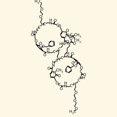 CCCOCCOCCN1CCNC(=O)COc2ccc(n(C)c2=O)C(=O)NCCN(CCN2CCNC(=O)c3ccc(c(=O)n3C)OCC(=O)NCCN(CCOCCOCCOC)CCNC(=O)COc3ccc(n(OCc4ccccc4)c3=O)C(=O)NC(CCCCNC(=O)OC(C)(C)C)C2)CCNC(=O)c2ccc(c(=O)n2OCc2ccccc2)OCC(=O)NCC1